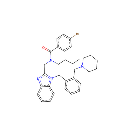 CCCCN(Cc1nc2ccccc2n1Cc1ccccc1CN1CCCCC1)C(=O)c1ccc(Br)cc1